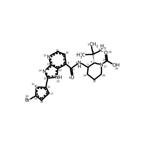 CC(C)(C)[C@H]1C(NC(=O)c2ccnc3nc(-c4ccc(Br)s4)[nH]c23)CCCN1C(=O)O